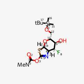 CNC(=O)OC1=N[C@@H]2[C@@H](F)[C@H](O)[C@@H](CO[Si](C)(C)C(C)(C)C)O[C@@H]2S1